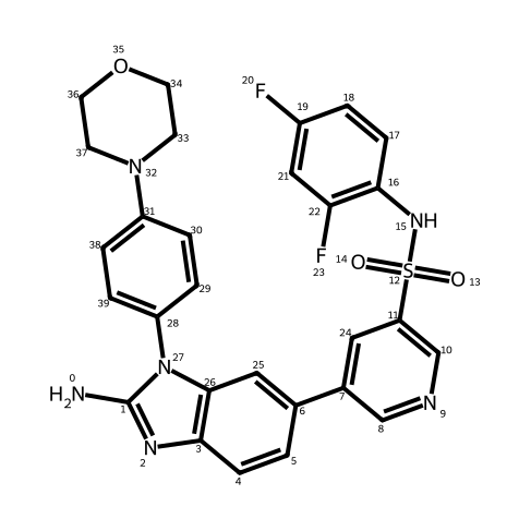 Nc1nc2ccc(-c3cncc(S(=O)(=O)Nc4ccc(F)cc4F)c3)cc2n1-c1ccc(N2CCOCC2)cc1